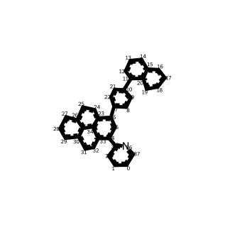 c1ccc(-c2cc(-c3ccc(-c4cccc5ccccc45)cc3)c3ccc4cccc5ccc2c3c45)nc1